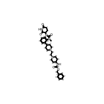 Cn1c(=O)n(C2CCC(=O)NC2=O)c2cccc(C3CCN(CCN4CCC(NC(=O)OCc5ccccc5)CC4)CC3)c21